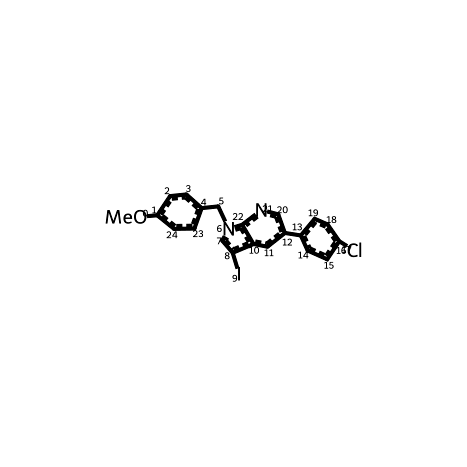 COc1ccc(Cn2cc(I)c3cc(-c4ccc(Cl)cc4)cnc32)cc1